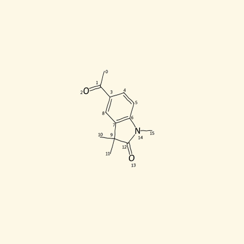 CC(=O)c1ccc2c(c1)C(C)(C)C(=O)N2C